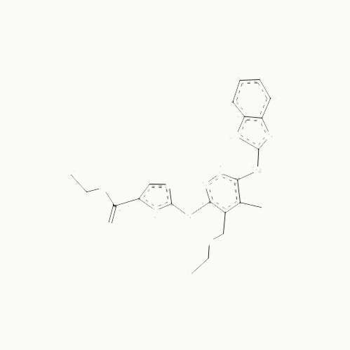 CCOCc1c(Nc2nc(C(=O)OCC)cs2)nnc(Nc2nc3ccccc3s2)c1C